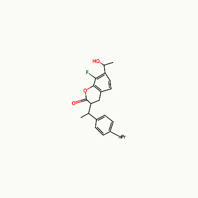 CCCc1ccc(C(C)C2Cc3ccc(C(C)O)c(F)c3OC2=O)cc1